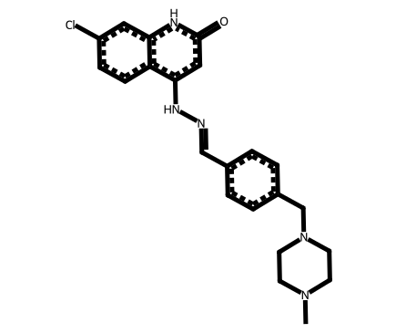 CN1CCN(Cc2ccc(/C=N/Nc3cc(=O)[nH]c4cc(Cl)ccc34)cc2)CC1